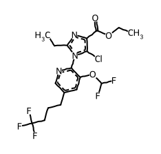 CCOC(=O)c1nc(CC)n(-c2ncc(CCCC(F)(F)F)cc2OC(F)F)c1Cl